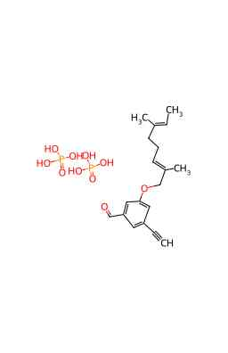 C#Cc1cc(C=O)cc(OCC(C)=CCCC(C)=CC)c1.O=P(O)(O)O.O=P(O)(O)O